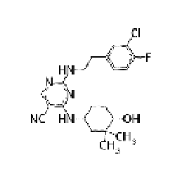 CC1(C)C[C@H](Nc2nc(NCCc3ccc(F)c(Cl)c3)ncc2C#N)CC[C@@H]1O